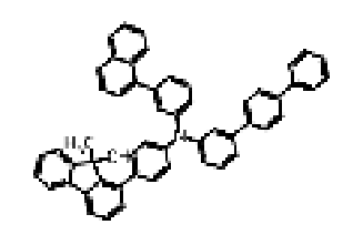 CC1(C)c2ccccc2-c2cccc(-c3ccc(N(c4cccc(-c5ccc(-c6ccccc6)cc5)c4)c4cccc(-c5cccc6ccccc56)c4)cc3)c21